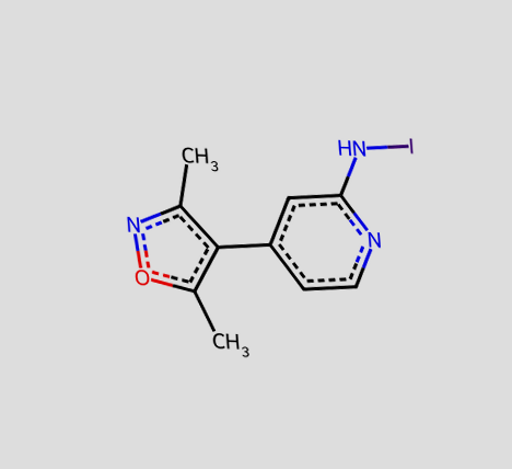 Cc1noc(C)c1-c1ccnc(NI)c1